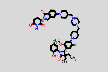 CCC1(CC)C(=O)N(c2cc(F)ccc2O)[C@H]1c1cc(F)c(N2CCC(CN3CCN(CC4CCN(c5ccc6c(c5)CN([C@H]5CCC(=O)NC5=O)C6=O)CC4)CC3)CC2)cc1OC